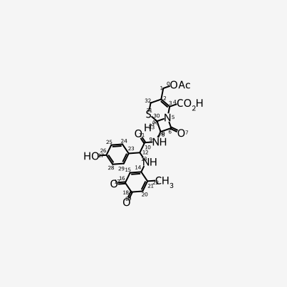 CC(=O)OCC1=C(C(=O)O)N2C(=O)[C@@H](NC(=O)C(NC3=CC(=O)C(=O)C=C3C)c3ccc(O)cc3)[C@H]2SC1